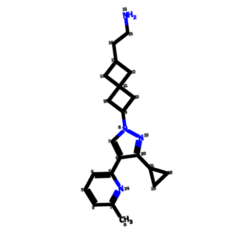 Cc1cccc(-c2cn(C3CC4(CC(CCN)C4)C3)nc2C2CC2)n1